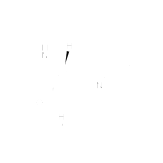 CC(C)(C)N1C[C@H]2NCCO[C@@H]2C1